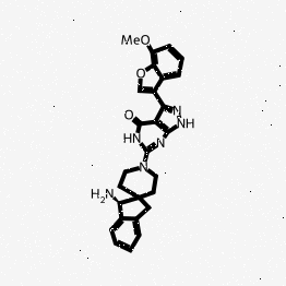 COc1cccc2c(-c3n[nH]c4nc(N5CCC6(CC5)Cc5ccccc5[C@H]6N)[nH]c(=O)c34)coc12